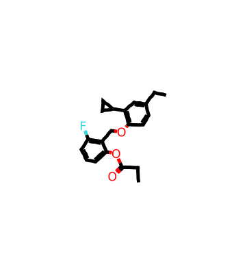 CCC(=O)Oc1cccc(F)c1COc1ccc(CC)cc1C1CC1